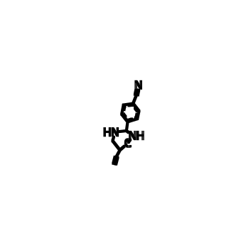 C#CC1CNC(c2ccc(C#N)cc2)NC1